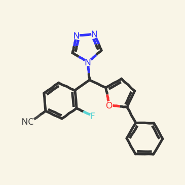 N#Cc1ccc(C(c2ccc(-c3ccccc3)o2)n2cnnc2)c(F)c1